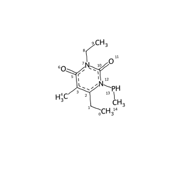 CCc1c(C)c(=O)n(CC)c(=O)n1PC